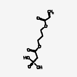 C=CC(=O)OCCCOC(=O)CP(=O)(O)O